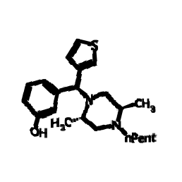 CCCCCN1C[C@H](C)N([C@H](c2ccsc2)c2cccc(O)c2)C[C@H]1C